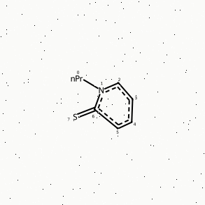 CCCn1ccccc1=S